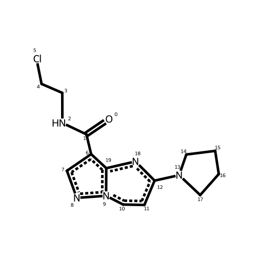 O=C(NCCCl)c1cnn2ccc(N3CCCC3)nc12